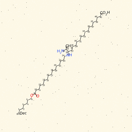 CCCCCCCCCCCCCCCCOC(=O)CCCCCCCCCCCCCCCNC(CCCCCCCCCCCCCCCC(=O)O)C(C)N